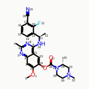 COc1cc2nc(C)nc(N[C@H](C)c3cccc(C#N)c3F)c2cc1OC(=O)N1CCN(C)C[C@H]1C